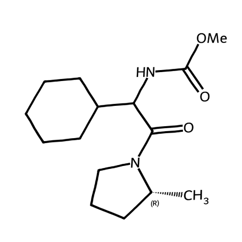 COC(=O)NC(C(=O)N1CCC[C@H]1C)C1CCCCC1